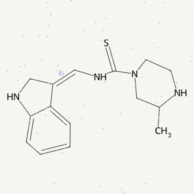 CC1CN(C(=S)N/C=C2/CNc3ccccc32)CCN1